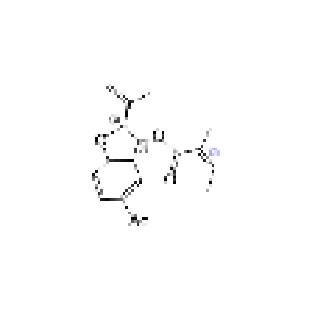 C=C(C)[C@@H]1Oc2ccc(C(C)=O)cc2[C@H]1OC(=O)/C(C)=C\C